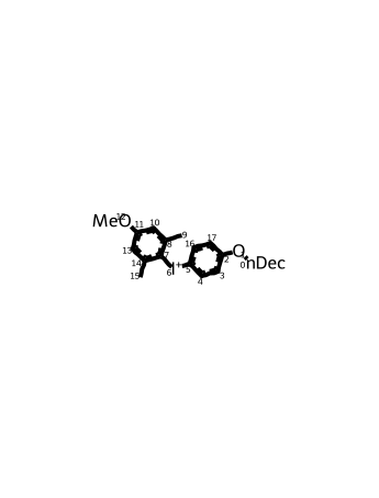 CCCCCCCCCCOc1ccc([I+]c2c(C)cc(OC)cc2C)cc1